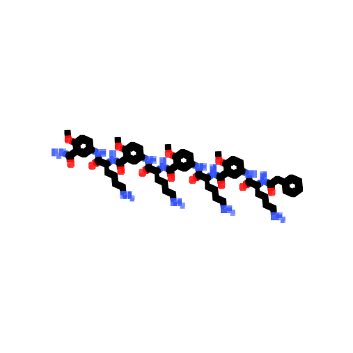 COc1ccc(NC(=O)[C@H](CCCCN)NC(=O)c2cc(NC(=O)[C@H](CCCCN)NC(=O)c3cc(NC(=O)[C@H](CCCCN)NC(=O)c4cc(NC(=O)[C@H](CCCCN)NC(=O)Cc5ccccc5)ccc4OC)ccc3OC)ccc2OC)cc1C(N)=O